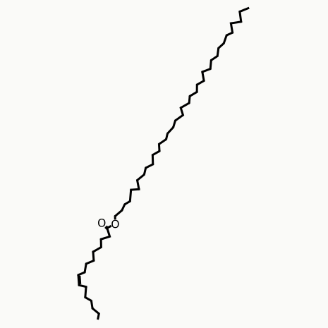 CCCCCC/C=C\CCCCCCCC(=O)OCCCCCCCCCCCCCCCCCCCCCCCCCCCCCCCCCCCC